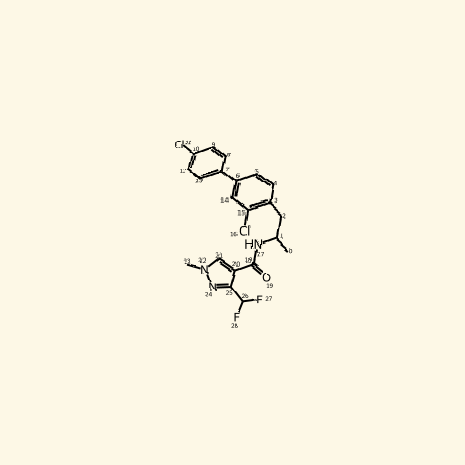 CC(Cc1ccc(-c2ccc(Cl)cc2)cc1Cl)NC(=O)c1cn(C)nc1C(F)F